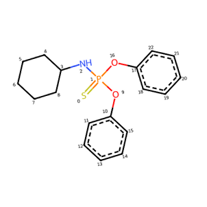 S=P(NC1CCCCC1)(Oc1ccccc1)Oc1ccccc1